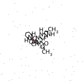 CCOC(=O)c1nc(N(C)[C@@H]2C[C@H]3CCC[C@@H](C2)N3C(=O)O)nc(Nc2cc(C)[nH]n2)c1F